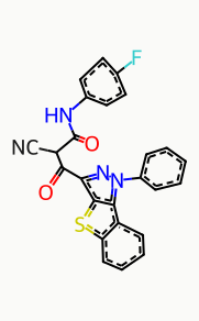 N#CC(C(=O)Nc1ccc(F)cc1)C(=O)c1nn(-c2ccccc2)c2c1sc1ccccc12